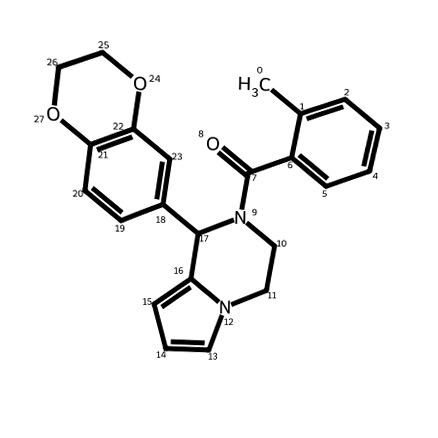 Cc1ccccc1C(=O)N1CCn2cccc2C1c1ccc2c(c1)OCCO2